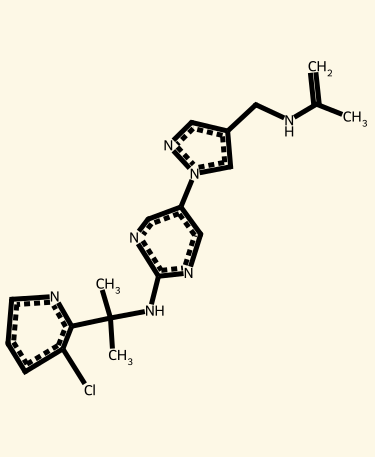 C=C(C)NCc1cnn(-c2cnc(NC(C)(C)c3ncccc3Cl)nc2)c1